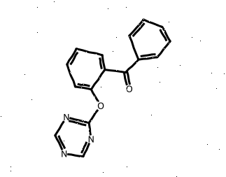 O=C(c1ccccc1)c1ccccc1Oc1ncncn1